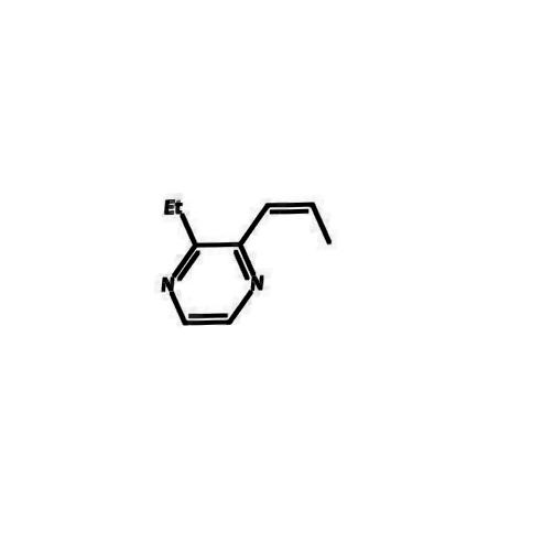 C/C=C\c1nccnc1CC